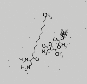 CC(=O)[O-].CC(=O)[O-].CC(=O)[O-].CCCCCCCCCCCCCC(=O)C(N)CN.[Na+].[Na+].[Na+]